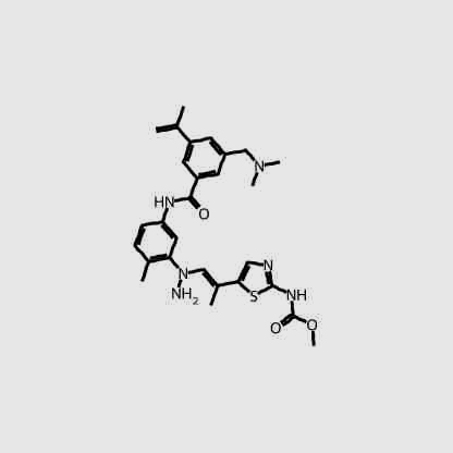 C=C(C)c1cc(CN(C)C)cc(C(=O)Nc2ccc(C)c(N(N)/C=C(\C)c3cnc(NC(=O)OC)s3)c2)c1